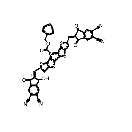 N#Cc1cc2c(cc1C#N)C(=O)C(=Cc1cc3sc4c5sc6cc(/C=C7/C(=O)c8cc(C#N)c(C#N)cc8C7O)sc6c5n(C(=O)OCc5ccccc5)c4c3s1)C2=O